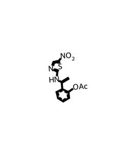 C=C(Nc1ncc([N+](=O)[O-])s1)c1ccccc1OC(C)=O